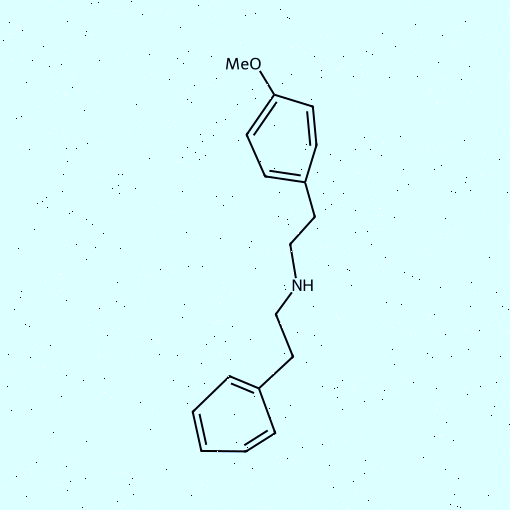 COc1ccc(CCNCCc2ccccc2)cc1